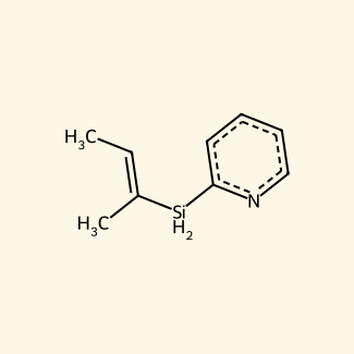 CC=C(C)[SiH2]c1ccccn1